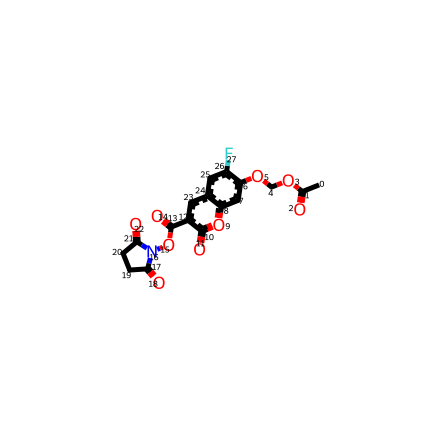 CC(=O)OCOc1cc2oc(=O)c(C(=O)ON3C(=O)CCC3=O)cc2cc1F